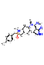 CCN=S(=O)(Cc1ccc(C#N)cc1)CC1CCC(N(C)c2ncnc3[nH]ccc23)CC1